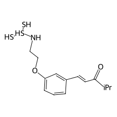 CC(C)C(=O)/C=C/c1cccc(OCCN[SH](S)S)c1